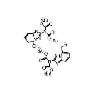 CC(C)(C)OC(=O)N(C(=O)OC(C)(C)C)c1nc2cccc(CBr)n2n1.Cc1cccc2nc(N(C(=O)OC(C)(C)C)C(=O)OC(C)(C)C)nn12